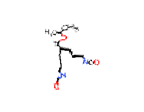 CC(C)[O][Ti][CH](CCCN=C=O)CCCN=C=O